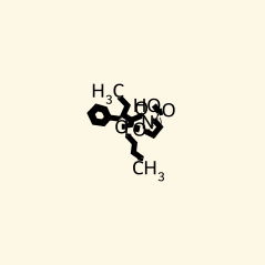 CCCCCP(=O)(OCc1ccccc1)C(CCCC)C(=O)N1CCC[C@H]1C(=O)O